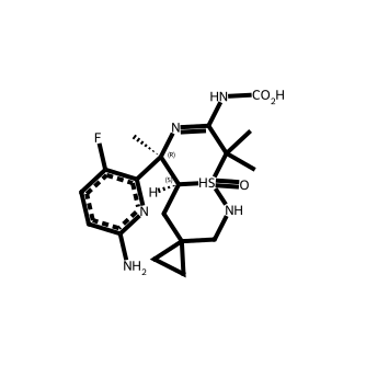 CC1(C)C(NC(=O)O)=N[C@](C)(c2nc(N)ccc2F)[C@@H]2CC3(CC3)CN[SH]21=O